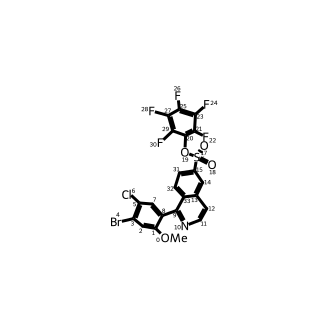 COc1cc(Br)c(Cl)cc1-c1nccc2cc(S(=O)(=O)Oc3c(F)c(F)c(F)c(F)c3F)ccc12